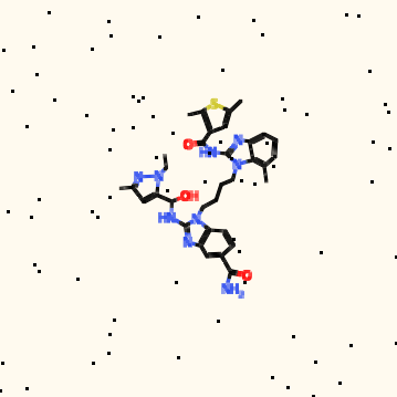 CCn1nc(C)cc1C(O)Nc1nc2cc(C(N)=O)ccc2n1CCCCn1c(NC(=O)c2cc(C)sc2C)nc2cccc(C)c21